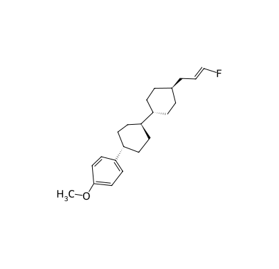 COc1ccc([C@H]2CC[C@H]([C@H]3CC[C@H](CC=CF)CC3)CC2)cc1